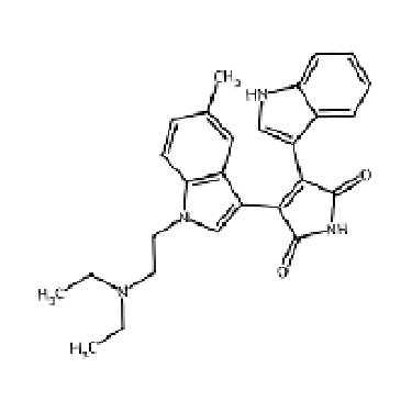 CCN(CC)CCn1cc(C2=C(c3c[nH]c4ccccc34)C(=O)NC2=O)c2cc(C)ccc21